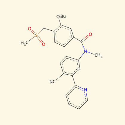 CC(C)COc1cc(C(=O)N(C)c2ccc(C#N)c(-c3ccccn3)c2)ccc1CS(C)(=O)=O